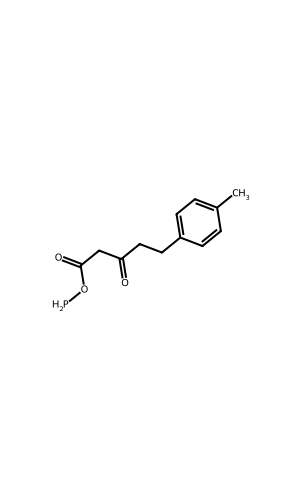 Cc1ccc(CCC(=O)CC(=O)OP)cc1